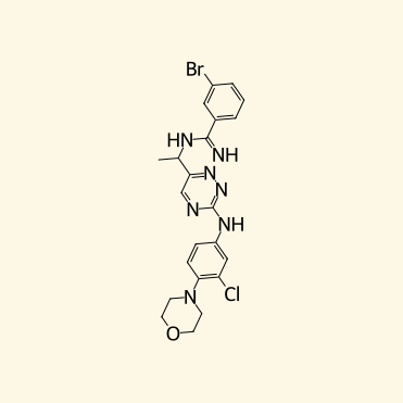 CC(NC(=N)c1cccc(Br)c1)c1cnc(Nc2ccc(N3CCOCC3)c(Cl)c2)nn1